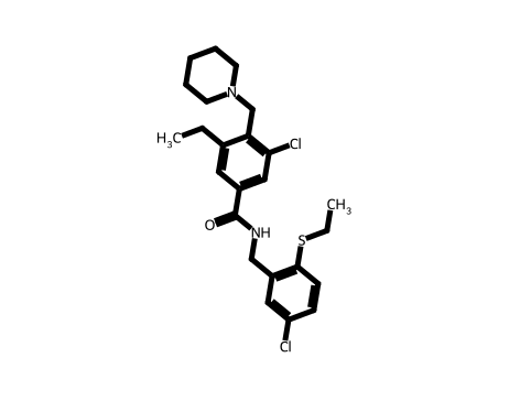 CCSc1ccc(Cl)cc1CNC(=O)c1cc(Cl)c(CN2CCCCC2)c(CC)c1